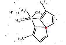 CC1=[C]([Zr]([CH3])([CH3])(=[SiH2])[C]2=C(C)C=CC2)CC=C1.[H-].[H-]